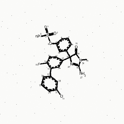 CCCS(=O)(=O)Oc1cccc(C2(c3ccc(F)c(-c4cccc(Cl)c4)c3)N=C(N)N(C)C2=O)c1